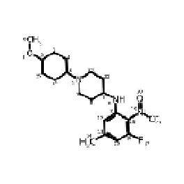 COC1CCC(N2CCC(Nc3cc(C)cc(F)c3[N+](=O)[O-])CC2)CC1